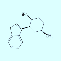 CC(C)[C@H]1CC[C@@H](C)C[C@H]1C1=CCc2ccccc21